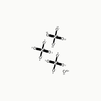 O=S(=O)([O-])[O-].O=S(=O)([O-])[O-].O=S(=O)([O-])[O-].[Cr+6]